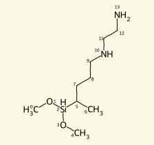 CO[SiH](OC)C(C)CCCNCCN